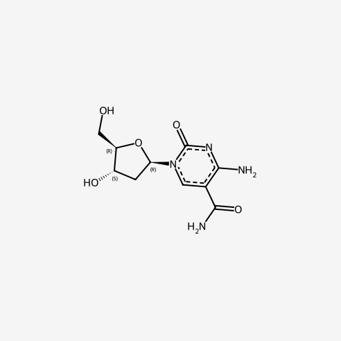 NC(=O)c1cn([C@H]2C[C@H](O)[C@@H](CO)O2)c(=O)nc1N